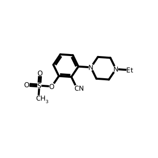 CCN1CCN(c2cccc(OS(C)(=O)=O)c2C#N)CC1